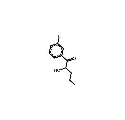 CCC[C@@H](O)C(=O)c1cccc(Cl)c1